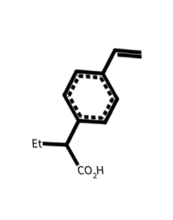 C=Cc1ccc(C(CC)C(=O)O)cc1